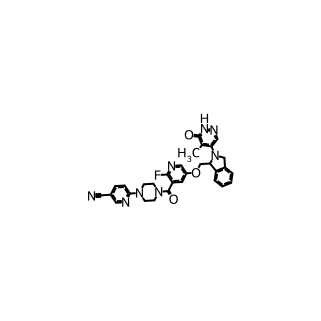 Cc1c(N2Cc3ccccc3C2COc2cnc(F)c(C(=O)N3CCN(c4ccc(C#N)cn4)CC3)c2)cn[nH]c1=O